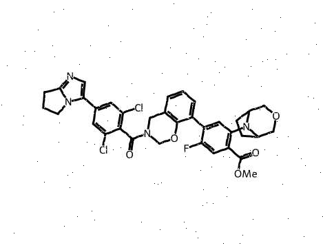 COC(=O)c1cc(F)c(-c2cccc3c2OCN(C(=O)c2c(Cl)cc(-c4cnc5n4CCC5)cc2Cl)C3)cc1N1C2CCC1COC2